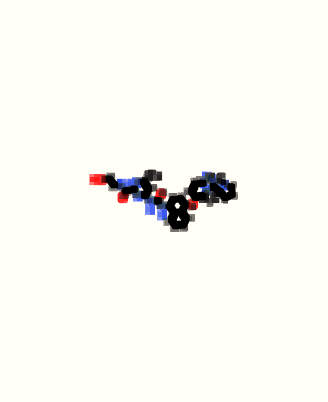 CN1CCCC1(C)c1nnc2ccc(O[C@@H]3CC[C@H](NC(=O)Nc4cc(C(C)(C)C)nc(C(=O)NCCO)n4)c4ccccc43)cn12